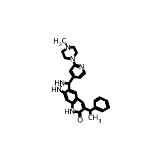 CC(c1ccccc1)c1cc2cc3c(cc2[nH]c1=O)NNC3c1ccnc(N2CCN(C)CC2)c1